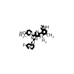 Cc1cc2[nH]ncc2c(-c2ncc3c(N4CCC[C@@](C)(O)C4)nc(OC[C@@]45CCCN4C[C@H](F)C5)nc3c2F)c1C